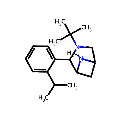 CC(C)c1ccccc1C1C2CC(CN1C(C)(C)C)N2C